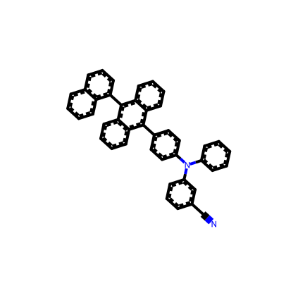 N#Cc1cccc(N(c2ccccc2)c2ccc(-c3c4ccccc4c(-c4cccc5ccccc45)c4ccccc34)cc2)c1